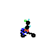 Cc1cccc(Cn2cnnc2CN(CCCCc2ccccc2)S(=O)(=O)c2cc(F)c(-c3ccc(F)c(Cl)c3)cc2F)n1